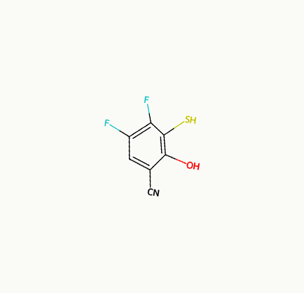 N#Cc1cc(F)c(F)c(S)c1O